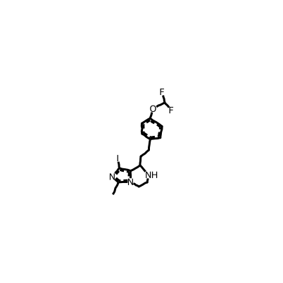 Cc1nc(I)c2n1CCNC2CCc1ccc(OC(F)F)cc1